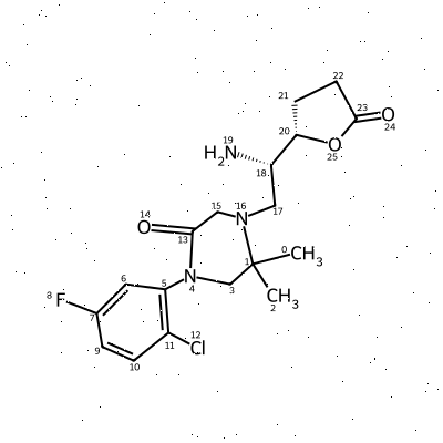 CC1(C)CN(c2cc(F)ccc2Cl)C(=O)CN1C[C@H](N)[C@@H]1CCC(=O)O1